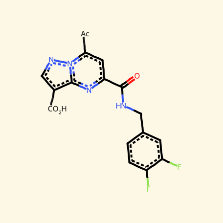 CC(=O)c1cc(C(=O)NCc2ccc(F)c(F)c2)nc2c(C(=O)O)cnn12